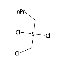 CCCC[Si](Cl)(Cl)CCl